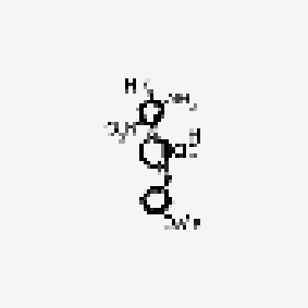 COc1cccc(CN2CCCN(c3cc(N)c(C)cc3[N+](=O)[O-])CC2)c1.Cl.Cl